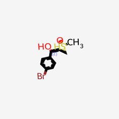 C[SH]1(=O)C/C1=C(/O)c1ccc(Br)cc1